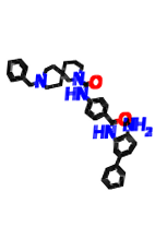 Nc1ccc(-c2ccccc2)cc1NC(=O)c1ccc(NC(=O)N2CCCC3(CCN(Cc4ccccc4)CC3)C2)cc1